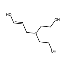 OC=CCN(CCO)CCO